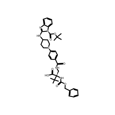 CC(C)(C)OC(=O)n1c(NC2CCN(c3ccc(C(=O)NC[C@](NC(=O)OCc4ccccc4)(C(=O)O)C(C)(C)C)cc3)CC2)nc2ccccc21